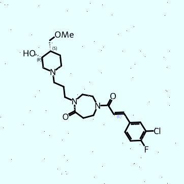 COC[C@@H]1CCN(CCCN2CCN(C(=O)/C=C/c3ccc(F)c(Cl)c3)CCC2=O)C[C@@H]1O